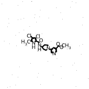 COC(=O)c1cncc(N2CCC(NC(=O)c3[nH]c(C)c(Cl)c3Cl)CC2)c1